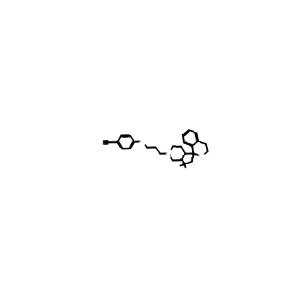 CC(C)(C)CC1(C2CCN(CCCOc3ccc(C#N)cc3)CC2)NCCc2ccccc21